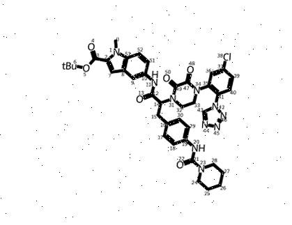 Cn1c(C(=O)OC(C)(C)C)cc2cc(NC(=O)C(Cc3ccc(NC(=O)N4CCCCC4)cc3)N3CCN(c4cc(Cl)ccc4-n4cnnn4)C(=O)C3=O)ccc21